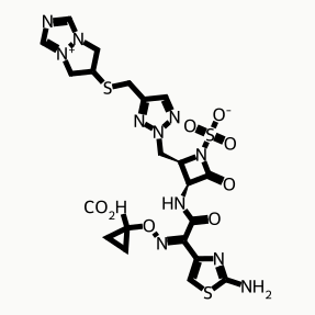 Nc1nc(C(=NOC2(C(=O)O)CC2)C(=O)N[C@@H]2C(=O)N(S(=O)(=O)[O-])[C@@H]2Cn2ncc(CSC3Cn4cnc[n+]4C3)n2)cs1